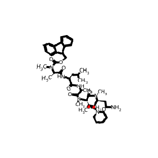 CC(C)C[C@H](NC(=O)[C@H](C)N(C)C(=O)OCC1c2ccccc2-c2ccccc21)C(=O)N[C@@H](C)C(=O)N(C)[C@H](C(=O)N(C)[C@@H](CC(N)=O)C(=O)N1CCCCC1)C(C)C